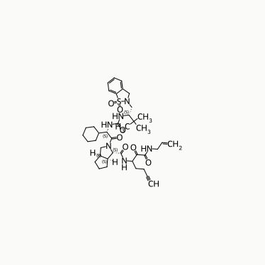 C#CCCC(NC(=O)[C@@H]1[C@H]2CCC[C@H]2CN1C(=O)[C@@H](NC(=O)N[C@H](CN1Cc2ccccc2S1(=O)=O)C(C)(C)C)C1CCCCC1)C(=O)C(=O)NCC=C